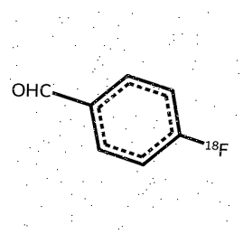 O=Cc1ccc([18F])cc1